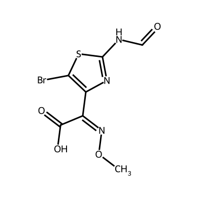 CON=C(C(=O)O)c1nc(NC=O)sc1Br